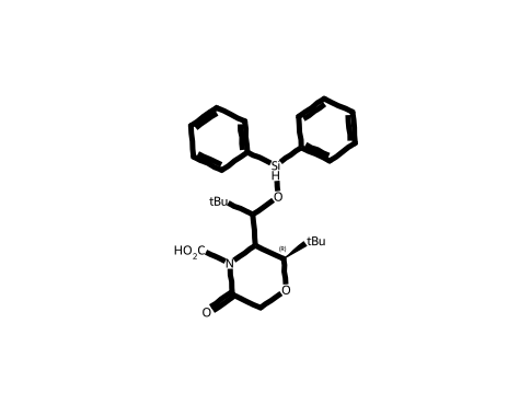 CC(C)(C)C(O[SiH](c1ccccc1)c1ccccc1)C1[C@@H](C(C)(C)C)OCC(=O)N1C(=O)O